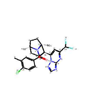 Cc1cc(C(=O)N2[C@H]3CC[C@H](c4cc(C(F)F)nc5ncnn45)[C@@H]2CC3)ccc1Cl